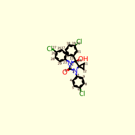 O=C1N(c2ccc(Cl)cc2)C2(CC2)C(O)(c2cccc(Cl)c2)N1c1ccc(Cl)cc1